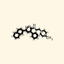 CN1CCN(CCNc2nnc(-c3ccc4ccccc4c3)cc2-c2ccccc2)CC1